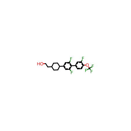 OCCC1CCC(c2cc(F)c(-c3ccc(OC(F)(F)F)c(F)c3)c(F)c2)CC1